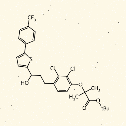 CC(C)(C)OC(=O)C(C)(C)Oc1ccc(CCC(O)c2ccc(-c3ccc(C(F)(F)F)cc3)s2)c(Cl)c1Cl